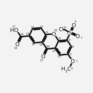 COc1cc(S(=O)(=O)Cl)c2oc3ccc(C(=O)O)cc3c(=O)c2c1